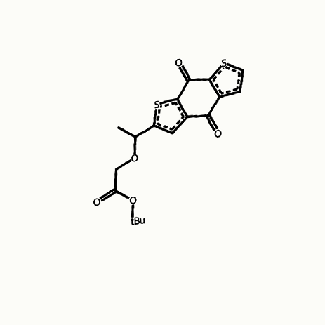 CC(OCC(=O)OC(C)(C)C)c1cc2c(s1)C(=O)c1sccc1C2=O